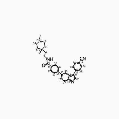 CN1CCC(C)(CCNC(=O)c2ccc(-c3ccc4ncc(-c5ccc(C#N)cc5)n4c3)cc2)CC1